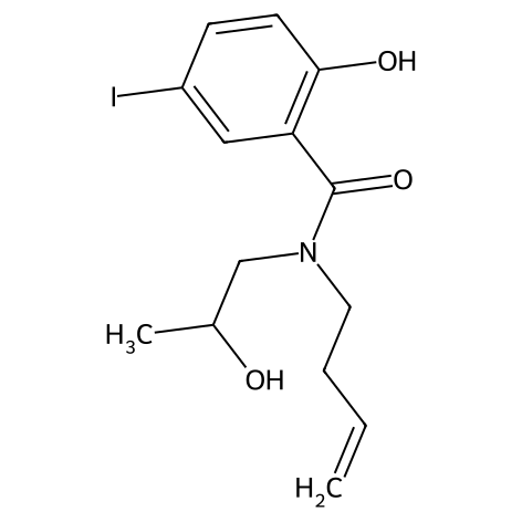 C=CCCN(CC(C)O)C(=O)c1cc(I)ccc1O